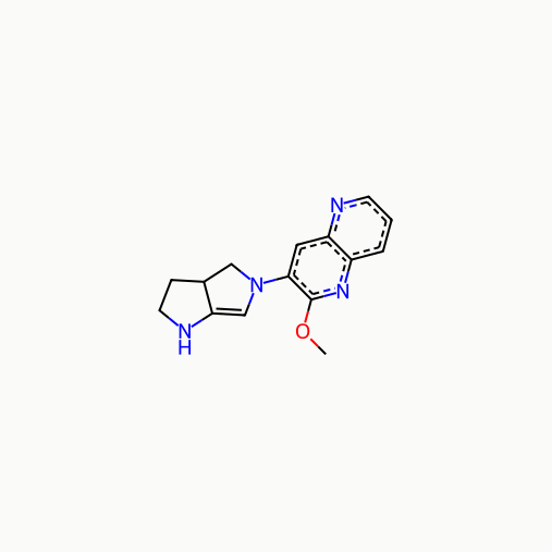 COc1nc2cccnc2cc1N1C=C2NCCC2C1